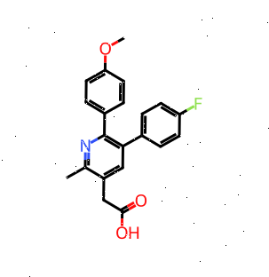 COc1ccc(-c2nc(C)c(CC(=O)O)cc2-c2ccc(F)cc2)cc1